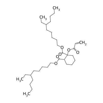 C=CC(=O)OC1(C(=O)OCCCCCC(CC)CCCC)CCCCC1C(=O)OCCCCCC(CC)CCCC